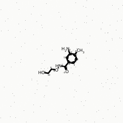 Cc1ccc(C(=O)NOCCO)cc1N